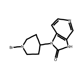 O=c1[nH]c2cnccc2n1C1CCN(Br)CC1